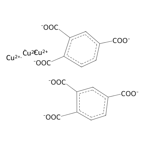 O=C([O-])c1ccc(C(=O)[O-])c(C(=O)[O-])c1.O=C([O-])c1ccc(C(=O)[O-])c(C(=O)[O-])c1.[Cu+2].[Cu+2].[Cu+2]